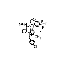 Cc1nnc([C@H]2CCCN2/C(=N\C#N)N[C@H]2CCOc3cc(C(F)(F)F)ccc32)n1Cc1ccc(Cl)cc1